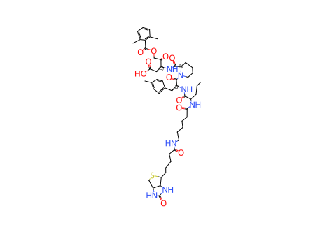 CCCC(NC(=O)CCCCCNC(=O)CCCCC1SCC2NC(=O)NC21)C(=O)N[C@@H](Cc1ccc(C)cc1)C(=O)N1CCCC[C@@H]1C(=O)N[C@@H](CC(=O)O)C(=O)COC(=O)c1c(C)cccc1C